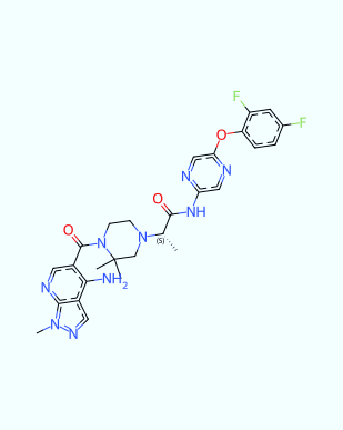 C[C@@H](C(=O)Nc1cnc(Oc2ccc(F)cc2F)cn1)N1CCN(C(=O)c2cnc3c(cnn3C)c2N)C(C)(C)C1